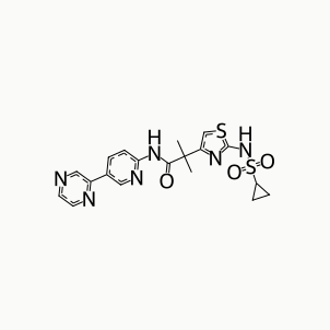 CC(C)(C(=O)Nc1ccc(-c2cnccn2)cn1)c1csc(NS(=O)(=O)C2CC2)n1